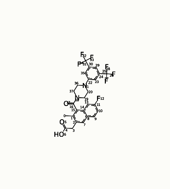 Cc1c(CC(=O)O)cc2ccc(F)cc2c1C(=O)N1CCN(c2cc(C(F)(F)F)cc(C(F)(F)F)c2)CC1